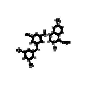 CCOC(=O)N1c2ccc(C(F)(F)F)cc2[C@@H](Nc2cc(Cl)nc(Cc3cc(C(F)(F)F)cc(C(F)(F)F)c3)n2)C[C@H]1CC